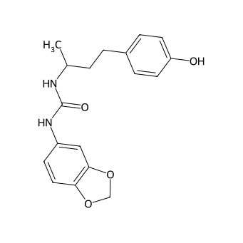 CC(CCc1ccc(O)cc1)NC(=O)Nc1ccc2c(c1)OCO2